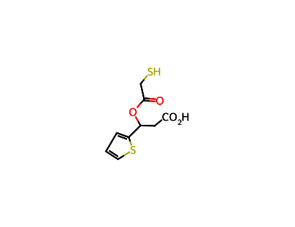 O=C(O)CC(OC(=O)CS)c1cccs1